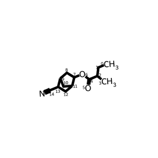 CCC(C)C(=O)OC1CC2CC1CC2C#N